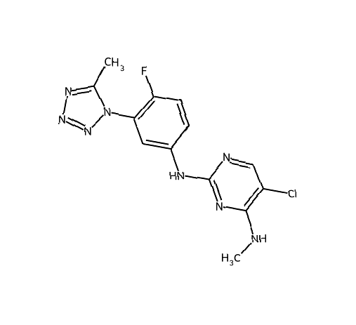 CNc1nc(Nc2ccc(F)c(-n3nnnc3C)c2)ncc1Cl